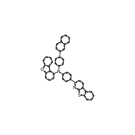 c1ccc2cc(-c3ccc(N(c4ccc(-c5ccc6c(n5)sc5ccccc56)cc4)c4cccc5oc6ccccc6c45)cc3)ccc2c1